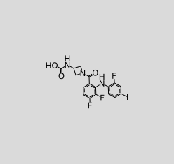 O=C(O)NC1CN(C(=O)c2ccc(F)c(F)c2Nc2ccc(I)cc2F)C1